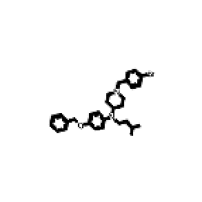 CC(C)=CCN(c1ccc(OCc2ccccc2)cc1)C1CCN(Cc2ccc(Br)cc2)CC1